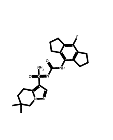 CC1(C)CCc2c(S(N)(=O)=NC(=O)Nc3c4c(c(F)c5c3CCC5)CCC4)cnn2C1